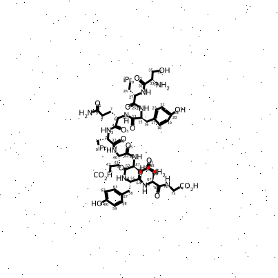 CC(C)C[C@H](NC(=O)[C@H](CCC(N)=O)NC(=O)[C@H](Cc1ccc(O)cc1)NC(=O)[C@H](CC(C)C)NC(=O)[C@@H](N)CO)C(=O)N[C@@H](CCC(=O)O)C(=O)N[C@@H](CC(N)=O)C(=O)N[C@@H](Cc1ccc(O)cc1)C(=O)N[C@@H](CS)C(=O)NCC(=O)O